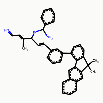 C/C(=C\C=N)C(/C=C/c1cccc(-c2cccc3c2-c2cc4ccccc4cc2C3(C)C)c1)NC(N)c1ccccc1